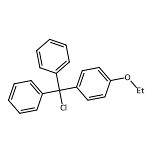 CCOc1ccc(C(Cl)(c2ccccc2)c2ccccc2)cc1